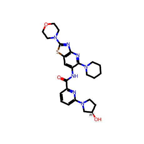 O=C(Nc1cc2sc(N3CCOCC3)nc2nc1N1CCCCC1)c1cccc(N2CC[C@@H](O)C2)n1